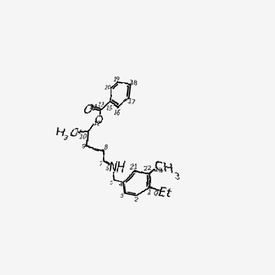 CCc1ccc(CNCCCC(C)OC(=O)c2ccccc2)cc1C